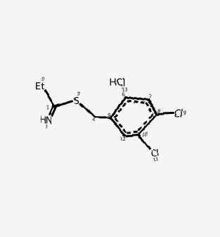 CCC(=N)SCc1ccc(Cl)c(Cl)c1.Cl